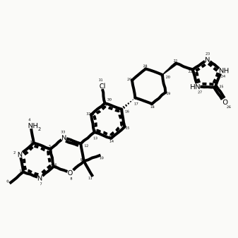 Cc1nc(N)c2c(n1)OC(C)(C)C(c1ccc([C@H]3CC[C@H](Cc4n[nH]c(=O)[nH]4)CC3)c(Cl)c1)=N2